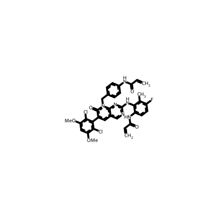 C=CC(=O)Nc1ccc(Cn2c(=O)c(-c3c(Cl)c(OC)cc(OC)c3Cl)cc3cnc(Nc4c(NC(=O)C=C)ccc(F)c4C)nc32)cc1